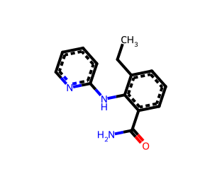 CCc1cccc(C(N)=O)c1Nc1ccccn1